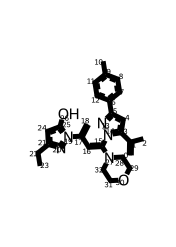 C=C(C)c1cc(-c2ccc(C)cc2)nn1/C(=C\C(=C)n1nc(CC)cc1O)N1CCOCC1